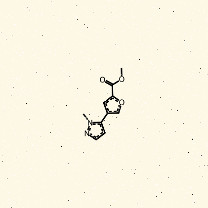 COC(=O)c1cc(-c2ccnn2C)co1